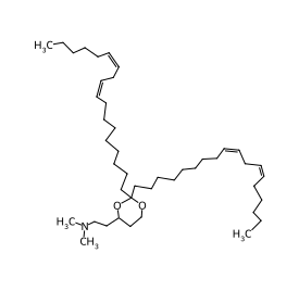 CCCCC/C=C\C/C=C\CCCCCCCCC1(CCCCCCCC/C=C\C/C=C\CCCCC)OCCC(CCN(C)C)O1